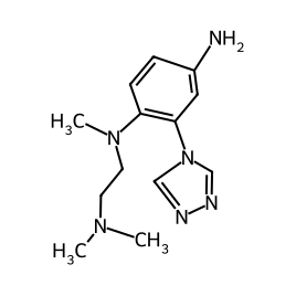 CN(C)CCN(C)c1ccc(N)cc1-n1cnnc1